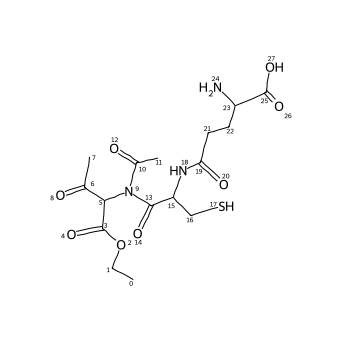 CCOC(=O)C(C(C)=O)N(C(C)=O)C(=O)C(CS)NC(=O)CCC(N)C(=O)O